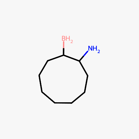 BC1CCCCCCCC1N